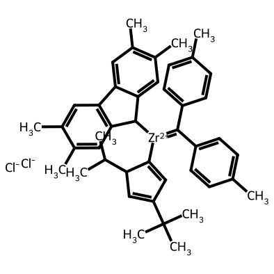 Cc1ccc([C](c2ccc(C)cc2)=[Zr+2]([C]2=CC(C(C)(C)C)=CC2C(C)C)[CH]2c3cc(C)c(C)cc3-c3cc(C)c(C)cc32)cc1.[Cl-].[Cl-]